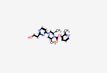 Cc1ncccc1OC(=O)N1[C@H](C)CN(c2ccnc(CCO)n2)C[C@@H]1C